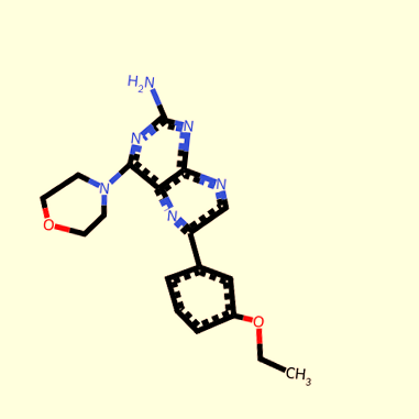 CCOc1cccc(-c2cnc3nc(N)nc(N4CCOCC4)c3n2)c1